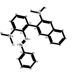 CN(C)c1[c]c2ccccc2cc1-c1cccc(N(C)C)c1N=Nc1ccccc1